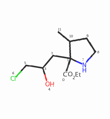 CCOC(=O)C1(CC(O)CCl)NCCC1C